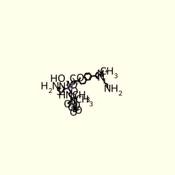 C[n+]1cc(-c2ccc3c(c2)CCC([C@@H](O/N=C(\C(=O)NC2C(=O)N(OS(=O)(=O)[O-])C2(C)C)c2csc(N)n2)C(=O)O)O3)cn1CCCN